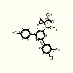 CN(c1cc(-c2ccc(F)cc2)nc(-c2ccc(Cl)c(F)c2)n1)C1(C(=O)O)CC1